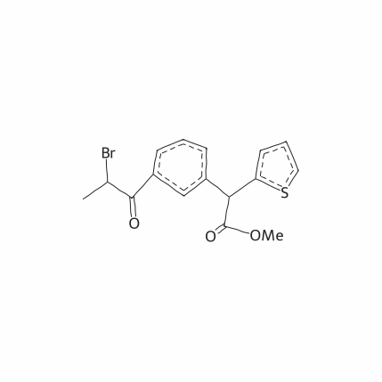 COC(=O)C(c1cccc(C(=O)C(C)Br)c1)c1cccs1